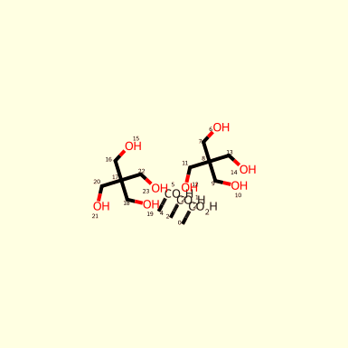 CC(=O)O.CC(=O)O.CC(=O)O.OCC(CO)(CO)CO.OCC(CO)(CO)CO